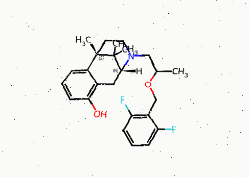 CC(CN1CC[C@@]2(C)c3cccc(O)c3C[C@@H]1C2(C)C)OCc1c(F)cccc1F